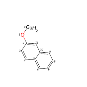 [GaH2][O]c1ccc2ccccc2c1